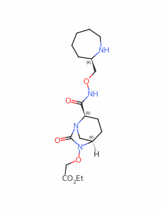 CCOC(=O)CON1C(=O)N2C[C@H]1CC[C@@H]2C(=O)NOC[C@H]1CCCCCN1